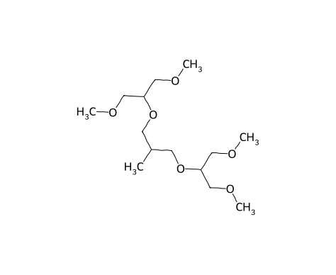 COCC(COC)OCC(C)COC(COC)COC